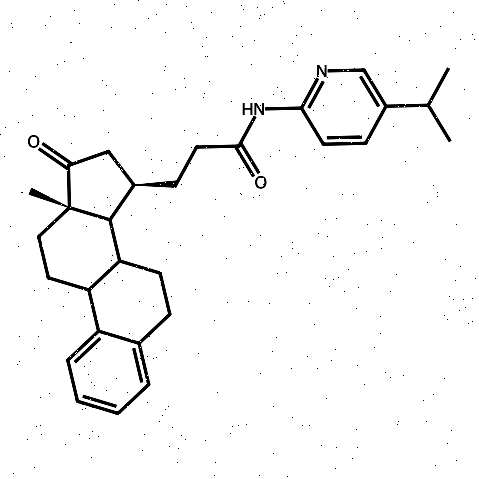 CC(C)c1ccc(NC(=O)CC[C@@H]2CC(=O)[C@@]3(C)CCC4c5ccccc5CCC4C23)nc1